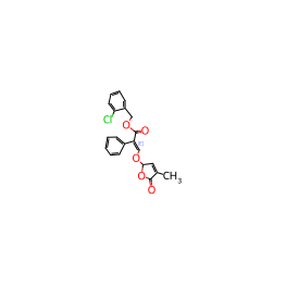 CC1=CC(O/C=C(/C(=O)OCc2ccccc2Cl)c2ccccc2)OC1=O